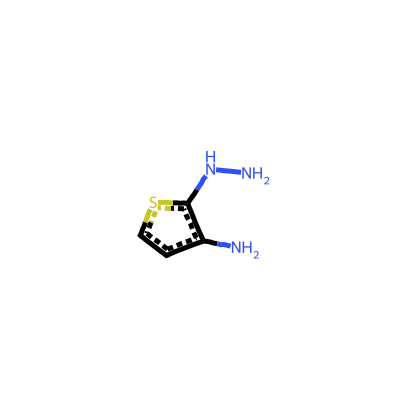 NNc1sccc1N